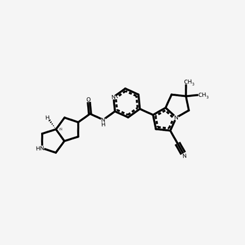 CC1(C)Cc2c(-c3ccnc(NC(=O)C4CC5CNC[C@H]5C4)c3)cc(C#N)n2C1